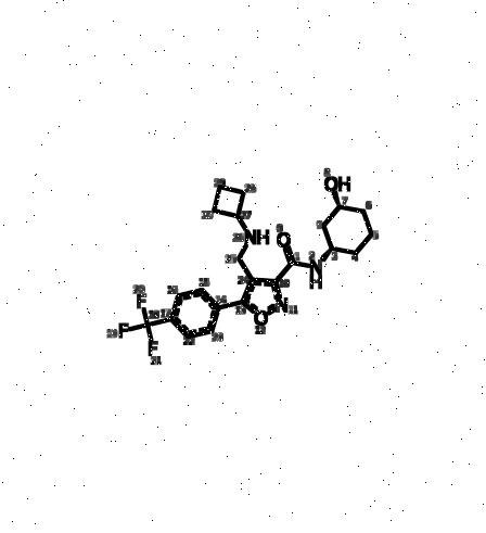 O=C(N[C@@H]1CCC[C@H](O)C1)c1noc(-c2ccc(C(F)(F)F)cc2)c1CNC1CCC1